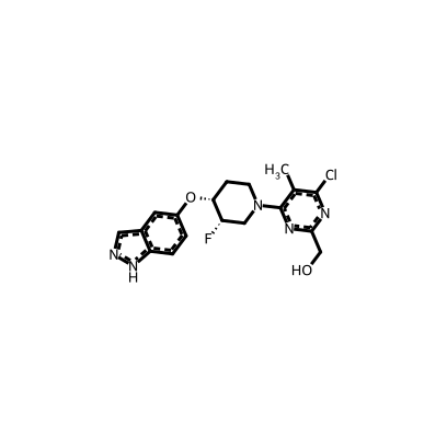 Cc1c(Cl)nc(CO)nc1N1CC[C@@H](Oc2ccc3[nH]ncc3c2)[C@@H](F)C1